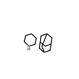 C1C2CC3CC1CC(C2)C3.C1CCNCC1